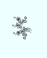 CN[C@@H](C)C(=O)N[C@@H](CCCC[C@H](NC(=O)[C@H](C)NC)C(=O)N1CC[C@@H]2[C@H]1[C@@H](c1cn3cccc(-c4ccccc4)c3n1)CN2S(C)(=O)=O)C(=O)N1CC[C@@H]2[C@H]1[C@@H](c1cn3cccc(-c4ccccc4)c3n1)CN2S(C)(=O)=O